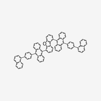 c1ccc2c(-c3ccc(-c4c5ccccc5c(-c5cccc6c5oc5cccc(-c7c8ccccc8c(-c8ccc(-c9cccc%10ccccc9%10)cc8)c8ccccc78)c56)c5ccccc45)cc3)cccc2c1